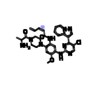 C=C/C=C\C(=O)Nc1cc(Nc2ncc(Cl)c(-c3cnn4ccccc34)n2)c(OC)cc1N1CCN(C(=O)C(C)N)CC1